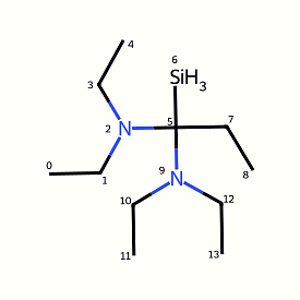 CCN(CC)C([SiH3])(CC)N(CC)CC